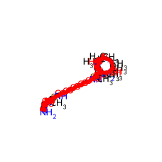 CO[C@H]1C[C@@H]2CC[C@@H](C)[C@@](O)(O2)C(=O)C(=O)N2CCCC[C@H]2C(=O)O[C@H]([C@H](N)C[C@@H]2CC[C@@H](OC(=S)NCCOCCOCCOCCOCCOCCOCCOCCOCCC(=O)NCCSc3ccc(C(=O)N4CCOc5ccc(-c6ccc(N)nc6)cc5C4)c(C)c3F)[C@H](OC)C2)CC(=O)[C@H](C)/C=C(\C)[C@@H](O)[C@@H](O)C(=O)[C@H](C)C[C@H](C)/C=C/C=C/C=C/1C